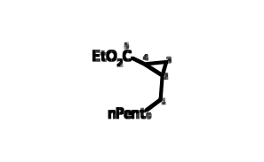 CCCCCCC1CC1C(=O)OCC